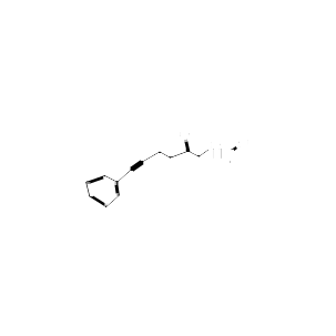 O=C(CCC#Cc1ccccc1)CO[PH](=O)O